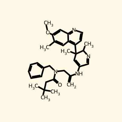 C=C(CN(Cc1ccccc1)C(=O)CC(C)(C)C)NC1=CC(C)(c2ccnc3cc(OC)c(C)cc23)C(C)N=C1